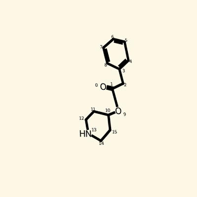 O=C(Cc1ccccc1)OC1CCNCC1